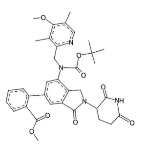 COC(=O)c1ccccc1-c1cc2c(c(N(Cc3ncc(C)c(OC)c3C)C(=O)OC(C)(C)C)c1)CN(C1CCC(=O)NC1=O)C2=O